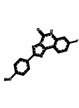 COc1ccc(-c2nc3c4ccc(F)cc4[nH]c(=O)n3n2)cc1